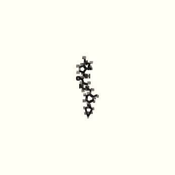 Cc1cc(N2CC3CC3C2)ccc1Cn1cnc(C(=O)N[C@@H]2CCc3c2ncn3C)c1